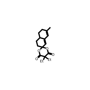 CCC1(CC)C(=O)OC2(C=C3C=C(C)CCC3CC2)OC1=O